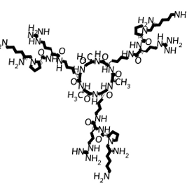 C[C@H]1NC(=O)[C@H](CCCCNC(=O)[C@H](CCCNC(=N)N)NC(=O)[C@@H]2CCCN2C[C@@H](N)CCCCN)NC(=O)[C@@H](C)NC(=O)[C@H](CCCCNC(=O)[C@H](CCCNC(=N)N)NC(=O)[C@@H]2CCCN2C[C@@H](N)CCCCN)NC(=O)[C@@H](C)NC(=O)[C@H](CCCCNC(=O)[C@H](CCCNC(=N)N)NC(=O)[C@@H]2CCCN2C[C@@H](N)CCCCN)NC1=O